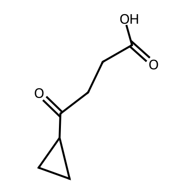 O=C(O)CCC(=O)C1CC1